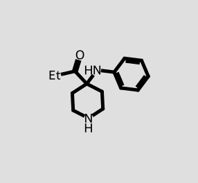 CCC(=O)C1(Nc2ccccc2)CCNCC1